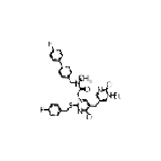 CCn1cc(Cc2cn(CC(=O)N(C)Cc3ccc(-c4ccc(F)cc4)cc3)c(SCc3ccc(F)cc3)nc2=O)cnc1=O